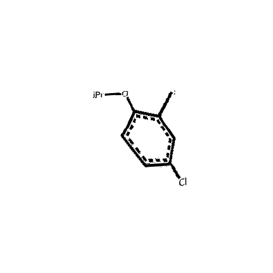 [CH]c1cc(Cl)ccc1OC(C)C